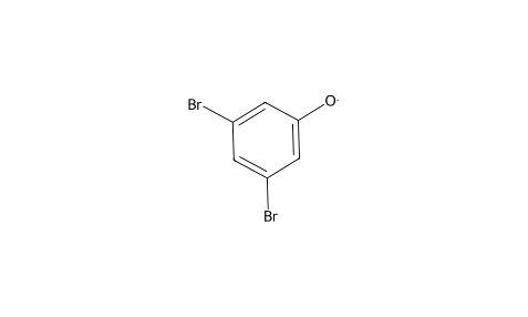 [O]c1cc(Br)cc(Br)c1